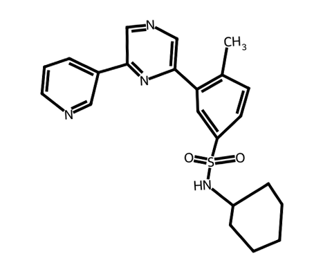 Cc1ccc(S(=O)(=O)NC2CCCCC2)cc1-c1cncc(-c2cccnc2)n1